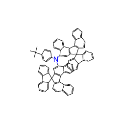 CC(C)(C)c1ccc(N(c2cc3c(c4ccccc24)-c2c(ccc4ccccc24)C32c3ccccc3-c3ccccc32)c2cc3c(c4ccccc24)-c2c(ccc4ccccc24)C32c3ccccc3-c3ccccc32)cc1